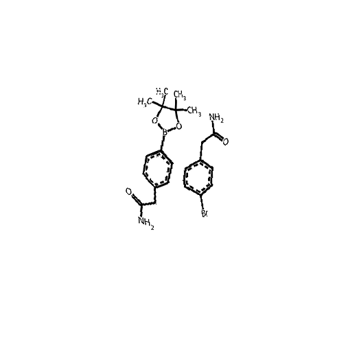 CC1(C)OB(c2ccc(CC(N)=O)cc2)OC1(C)C.NC(=O)Cc1ccc(Br)cc1